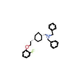 Fc1ccccc1OCC[C@H]1CC[C@@H](CN(Cc2ccccc2)Cc2ccccc2)CC1